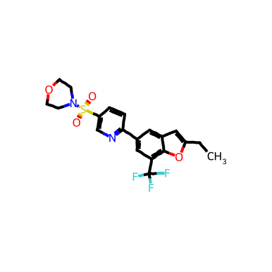 CCc1cc2cc(-c3ccc(S(=O)(=O)N4CCOCC4)cn3)cc(C(F)(F)F)c2o1